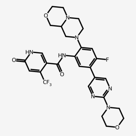 O=C(Nc1cc(-c2cnc(N3CCOCC3)nc2)c(F)cc1N1CCN2CCOCC2C1)c1c[nH]c(=O)cc1C(F)(F)F